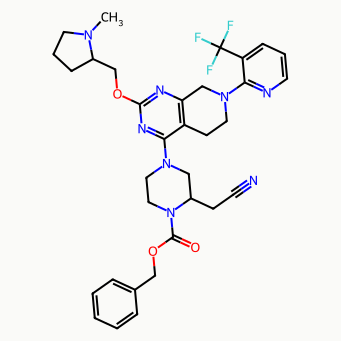 CN1CCCC1COc1nc2c(c(N3CCN(C(=O)OCc4ccccc4)C(CC#N)C3)n1)CCN(c1ncccc1C(F)(F)F)C2